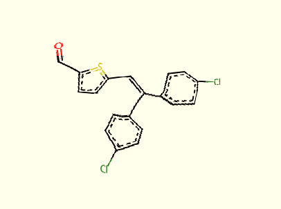 O=Cc1ccc(C=C(c2ccc(Cl)cc2)c2ccc(Cl)cc2)s1